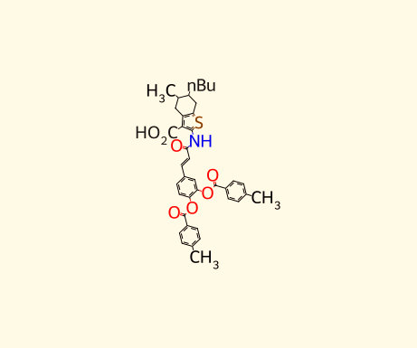 CCCCC1Cc2sc(NC(=O)C=Cc3ccc(OC(=O)c4ccc(C)cc4)c(OC(=O)c4ccc(C)cc4)c3)c(C(=O)O)c2CC1C